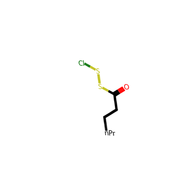 CCCCCC(=O)SSCl